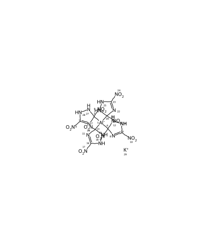 O=[N+]([O-])C1=N[C]([N+](=O)[O-])([Al-]([C]2([N+](=O)[O-])N=C([N+](=O)[O-])NN2)([C]2([N+](=O)[O-])N=C([N+](=O)[O-])NN2)[C]2([N+](=O)[O-])N=C([N+](=O)[O-])NN2)NN1.[K+]